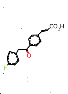 O=C(O)/C=C/c1ccc(C(=O)Cc2ccc(F)cc2)cc1